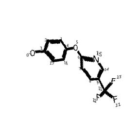 [O]c1ccc(Oc2ccc(C(F)(F)F)cn2)cc1